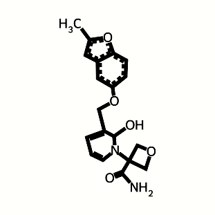 Cc1cc2cc(OCC3=CC=CN(C4(C(N)=O)COC4)C3O)ccc2o1